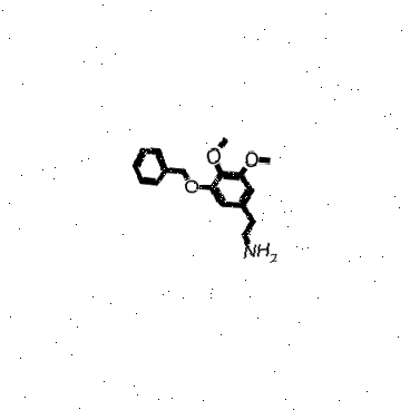 COc1cc(CCN)cc(OCc2ccccc2)c1OC